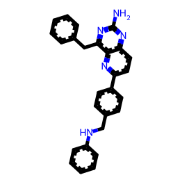 Nc1nc(Cc2ccccc2)c2nc(-c3ccc(CNc4ccccc4)cc3)ccc2n1